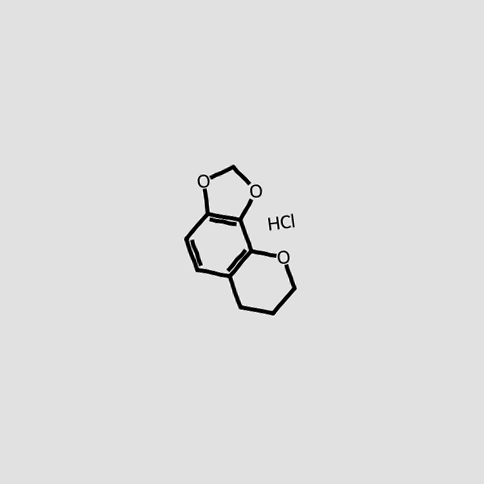 Cl.c1cc2c(c3c1CCCO3)OCO2